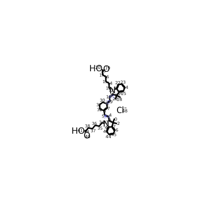 CC1(C)C(/C=C/C2=CC(=C/C=C3/N(CCCCCC(=O)O)c4ccccc4C3(C)C)/CCC2)=[N+](CCCCCC(=O)O)c2ccccc21.[Cl-]